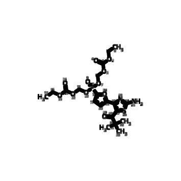 CCOC(=O)OCOP(=O)(OCOC(=O)OCC)c1ccc(-c2nc(N)sc2C(=O)C(C)(C)C)o1